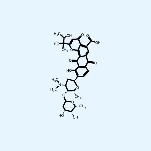 CC(O)C(C)(O)c1cc(=O)c2c(C(=O)O)cc3c(c2o1)C(=O)c1c(ccc([C@@H]2C[C@@H](N(C)C)[C@@H](OC4C[C@@H](O)[C@@H](O)[C@@H](C)O4)[C@@H](C)O2)c1O)C3=O